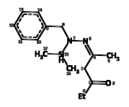 CCC(=O)CC(C)=NN(Cc1ccccc1)[SiH](C)C